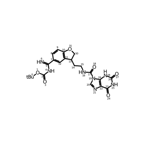 CC(C)(C)OC(=O)NC(=N)c1ccc2c(c1)C(CCNC(=O)n1cnc3c(=O)[nH]c(=O)[nH]c31)CO2